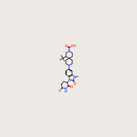 Cn1c(=O)n(C2CCC(=O)NC2=O)c2ccc(N3CCC4(CCN(C(=O)O)CC4C(C)(C)C)CC3)cc21